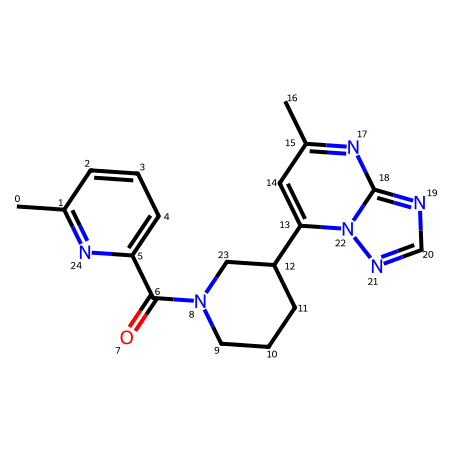 Cc1cccc(C(=O)N2CCCC(c3cc(C)nc4ncnn34)C2)n1